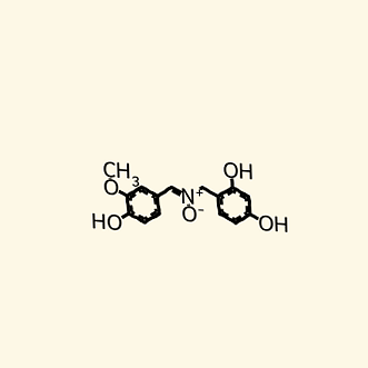 COc1cc(C=[N+]([O-])Cc2ccc(O)cc2O)ccc1O